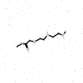 CNC(=O)COCCOCCOC